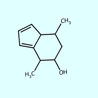 CC1CC(O)C(C)C2=CC=CC21